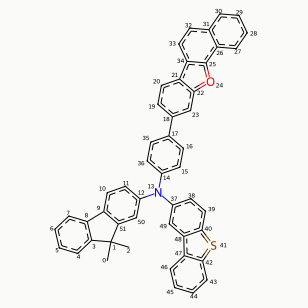 CC1(C)c2ccccc2-c2ccc(N(c3ccc(-c4ccc5c(c4)oc4c6ccccc6ccc54)cc3)c3ccc4sc5ccccc5c4c3)cc21